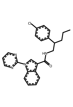 CCCC(CNC(=O)c1cn(-c2ncccn2)c2ccccc12)c1ccc(Cl)cc1